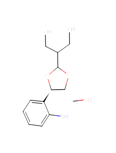 CCC(CC)C1O[C@H](c2ccccc2N)[C@@H](CO)O1